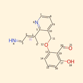 C/C(=C\C=N)c1ncccc1COc1cccc(O)c1C=O